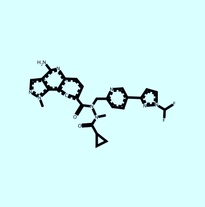 CN(C(=O)C1CC1)N(Cc1ccc(-c2ccn(C(F)F)n2)cn1)C(=O)c1ccc2nc(N)c3cnn(C)c3c2c1